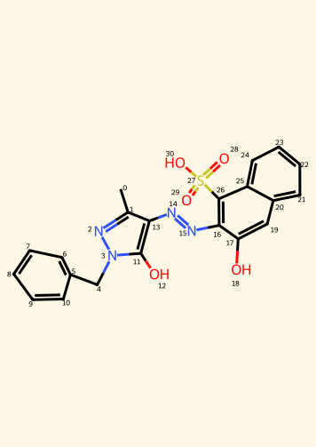 Cc1nn(Cc2ccccc2)c(O)c1N=Nc1c(O)cc2ccccc2c1S(=O)(=O)O